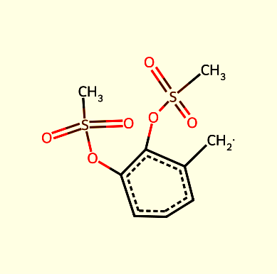 [CH2]c1cccc(OS(C)(=O)=O)c1OS(C)(=O)=O